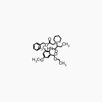 CCOC(=O)c1cc(OC)cc(C)c1NC(=O)C(CC)[N+]1(CC(=O)OCc2ccccc2)CCCCC1